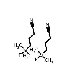 C[Si](C)(F)CCCC#N.C[Si](C)(F)CCCC#N